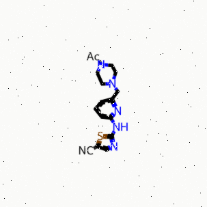 CC(=O)N1CCN(Cc2cccc(Nc3ncc(C#N)s3)n2)CC1